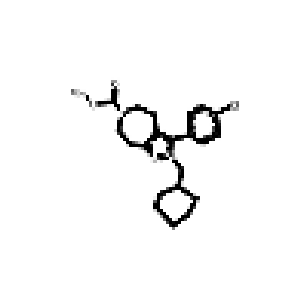 CC(C)(C)OC(=O)N1CCc2nn(CC3CCCCC3)c(-c3ccc(Cl)cc3)c2CC1